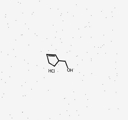 Cl.OCC1C=CCC1